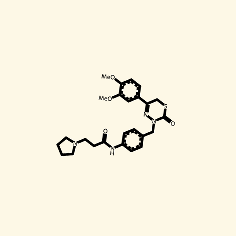 COc1ccc(C2=NN(Cc3ccc(NC(=O)CCN4CCCC4)cc3)C(=O)SC2)cc1OC